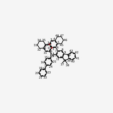 Cc1ccc2c(c1-c1cc3c(cc1N(c1ccc(-c4ccccc4)cc1)c1ccc4c(c1)CCCC4)C(C)(C)c1ccccc1-3)CCCC2